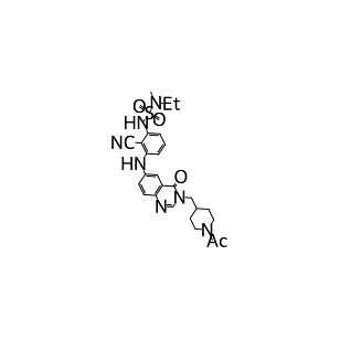 CCN(C)S(=O)(=O)Nc1cccc(Nc2ccc3ncn(CC4CCN(C(C)=O)CC4)c(=O)c3c2)c1C#N